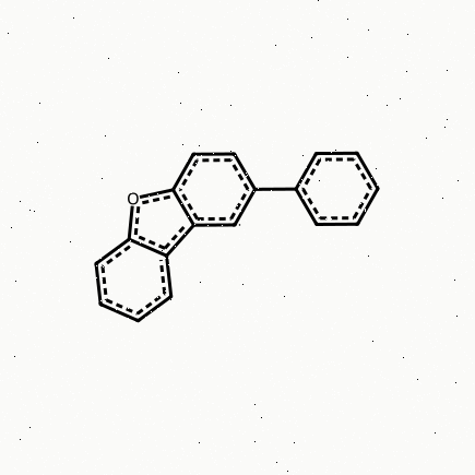 [c]1c(-c2ccccc2)ccc2oc3ccccc3c12